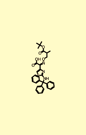 CC(CON=C(C(=O)O)c1csc(NC(c2ccccc2)(c2ccccc2)c2ccccc2)n1)C(=O)OC(C)(C)C